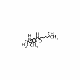 CC(C)CCCCC(=O)Nc1ccc2c(c1)NC(=O)C2(C)C